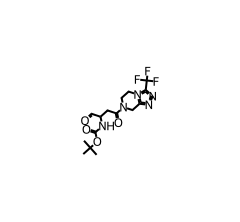 CC(C)(C)OC(=O)NC(C=O)CC(=O)N1CCn2c(nnc2C(F)(F)F)C1